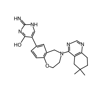 CC1(C)CCc2ncnc(N3CCOc4ccc(-c5c[nH]c(=N)nc5O)cc4C3)c2C1